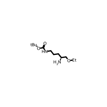 CCOC[C@@H](N)CCCNC(=O)OC(C)(C)C